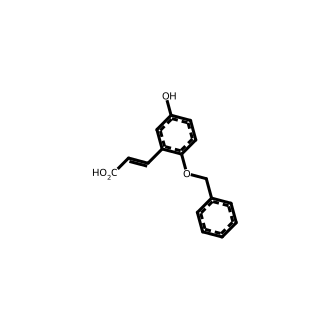 O=C(O)C=Cc1cc(O)ccc1OCc1ccccc1